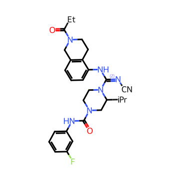 CCC(=O)N1CCc2c(cccc2N/C(=N/C#N)N2CCN(C(=O)Nc3cccc(F)c3)CC2C(C)C)C1